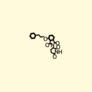 O=C1CCC(N2C(=O)c3cccc(OCCCc4ccccc4)c3C2=O)C(=O)N1